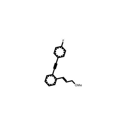 COCC=Cc1ccccc1C#Cc1ccc(F)cc1